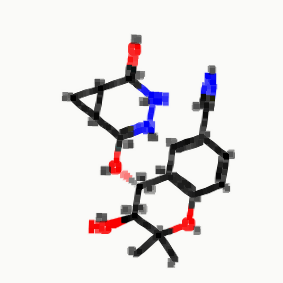 CC1(C)Oc2ccc(C#N)cc2[C@@H](OC2=NNC(=O)C3CC23)[C@@H]1O